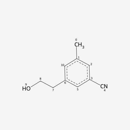 Cc1cc(C#N)cc(CCO)c1